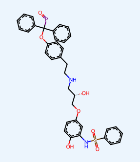 O=PC(Oc1ccc(CCNC[C@H](O)COc2ccc(O)c(NS(=O)(=O)c3ccccc3)c2)cc1)(c1ccccc1)c1ccccc1